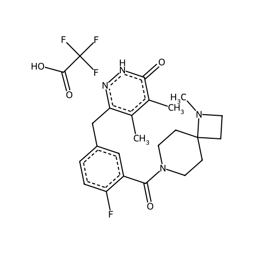 Cc1c(Cc2ccc(F)c(C(=O)N3CCC4(CC3)CCN4C)c2)n[nH]c(=O)c1C.O=C(O)C(F)(F)F